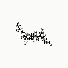 CCOC(=O)OCOC(=O)C1(COC)CS[C@@H]2C(NC(=O)C(=NOC)c3csc(N)n3)C(=O)N2C1